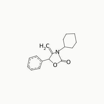 C=C1C(c2ccccc2)OC(=O)N1C1CCCCC1